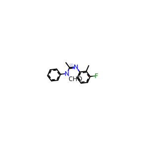 C/C(=N/c1cccc(F)c1C)N(C=O)c1ccccc1